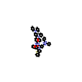 c1ccc(-c2cc(-c3cc(-c4nc(-c5ccccc5)nc(-c5ccccc5)n4)ccc3-n3c4ccccc4c4c5sc6ccccc6c5ccc43)nc(-c3ccc(-c4ccc5c6c4N(c4ccccc4)c4ccccc4B6c4ccccc4N5c4ccccc4)cc3)n2)cc1